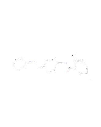 O=C(NC1CCC(CNc2ccccc2)CC1)c1cc(F)ccc1C(F)(F)F